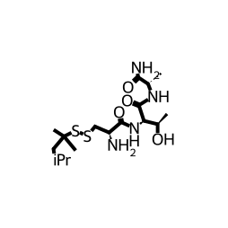 CC(C)CC(C)(C)SSC[C@@H](N)C(=O)N[C@H](C(=O)N[C@@H](C)C(N)=O)[C@@H](C)O